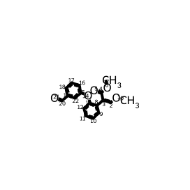 COC=C(C(=O)OC)c1ccccc1Oc1cccc(C=O)c1